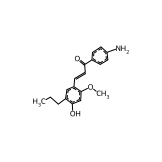 CCCc1cc(C=CC(=O)c2ccc(N)cc2)c(OC)cc1O